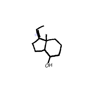 C/C=C1/CCC2C(O)CCCC12C